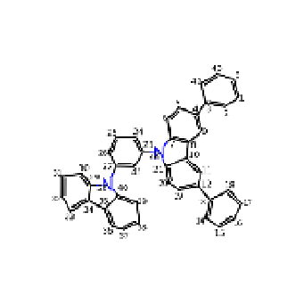 c1ccc(-c2ccc3c(c2)c2cc(-c4ccccc4)ccc2n3-c2cccc(-n3c4ccccc4c4ccccc43)c2)cc1